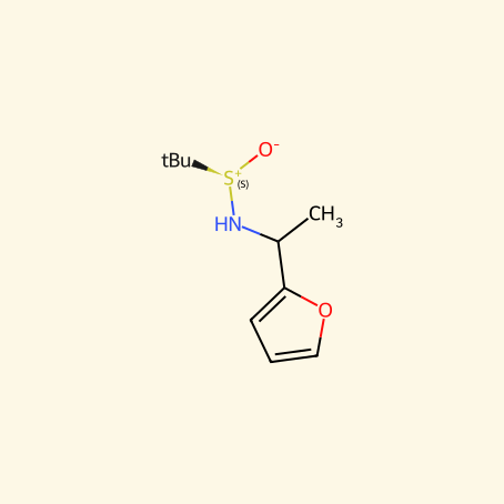 CC(N[S@+]([O-])C(C)(C)C)c1ccco1